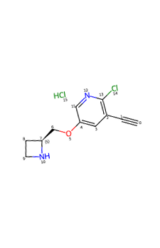 C#Cc1cc(OC[C@@H]2CCN2)cnc1Cl.Cl